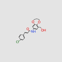 O=C(C=Cc1ccc(Cl)cc1)Nc1cc(CO)c2c(c1)OCCCO2